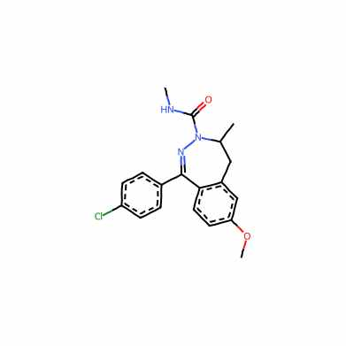 CNC(=O)N1N=C(c2ccc(Cl)cc2)c2ccc(OC)cc2CC1C